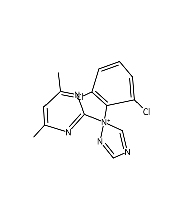 Cc1cc(C)nc([N+]2(c3c(Cl)cccc3Cl)C=NC=N2)n1